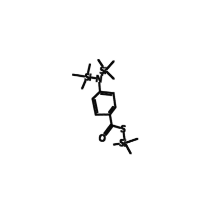 C[Si](C)(C)SC(=O)c1ccc(N([Si](C)(C)C)[Si](C)(C)C)cc1